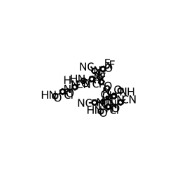 N#CC1=CC=C(C(=O)N(c2ccc([C@@H]3CNCCO3)cc2F)c2ccc([C@H]3CNCCO3)cc2Cl)N(c2ccc(OC(F)F)cc2)C1.N#Cc1ccc(-n2cc(C(=O)Nc3ccc([C@H]4CNCCO4)cc3Cl)cn2)cc1.N#Cc1ccc(C(=O)Nc2ccc([C@@H]3CNCCO3)cc2Cl)cn1.N#Cc1ccc(C(=O)Nc2ccc([C@H]3CNCCO3)cc2Cl)cn1